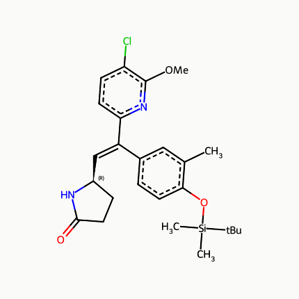 COc1nc(C(=C[C@H]2CCC(=O)N2)c2ccc(O[Si](C)(C)C(C)(C)C)c(C)c2)ccc1Cl